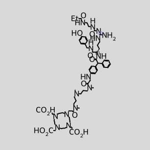 CCC(=O)NCCNC(=O)/N=C(/N)NCCC[C@@H](NC(=O)C(c1ccccc1)c1ccc(NCC(=O)N(C)CCCN(C)CCCN(C)C(=O)CN2CCN(CC(=O)O)CCN(CC(=O)O)CCN(CC(=O)O)CC2)cc1)C(=O)NCc1ccc(O)cc1